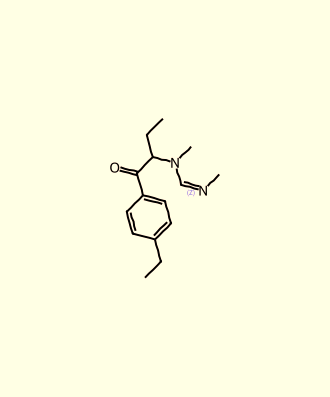 CCc1ccc(C(=O)C(CC)N(C)/C=N\C)cc1